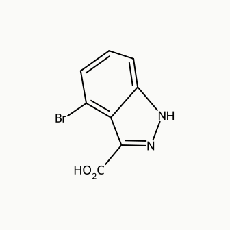 O=C(O)c1n[nH]c2cccc(Br)c12